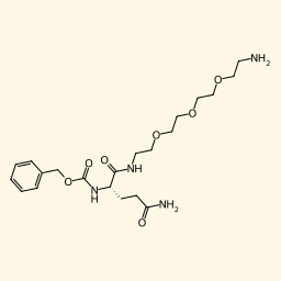 NCCOCCOCCOCCNC(=O)[C@H](CCC(N)=O)NC(=O)OCc1ccccc1